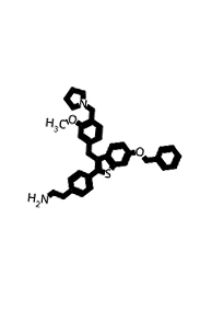 COc1cc(Cc2c(-c3ccc(CCN)cc3)sc3cc(OCc4ccccc4)ccc23)ccc1CN1CCCC1